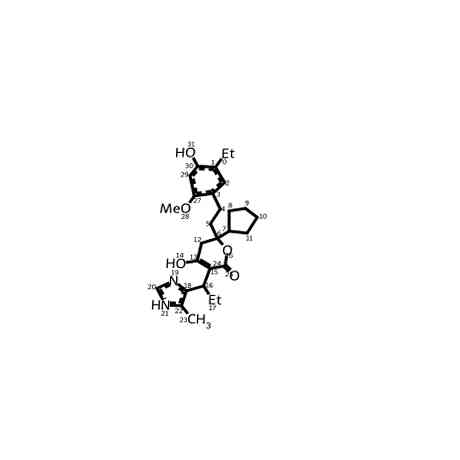 CCc1cc(CCC2(C3CCCC3)CC(O)=C(C(CC)c3nc[nH]c3C)C(=O)O2)c(OC)cc1O